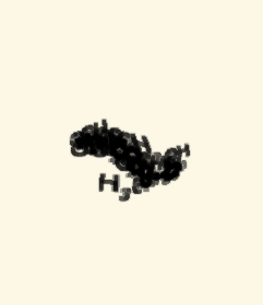 C[C@@H]1CCC2(C#Cc3ccccc3CO)CC[C@]3(C)C(CCC4[C@@]5(C)CC[C@H](OC(=O)CC(C)(C)C(=O)O)C(C)(C)C5CC[C@]43C)C12